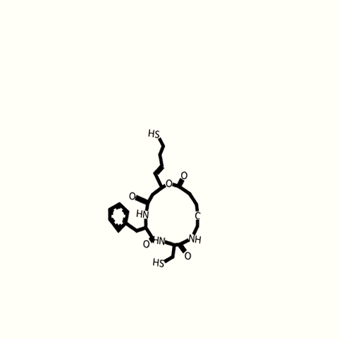 O=C1CC(/C=C/CCS)OC(=O)CCCCNC(=O)C(CS)NC(=O)C(Cc2ccccc2)N1